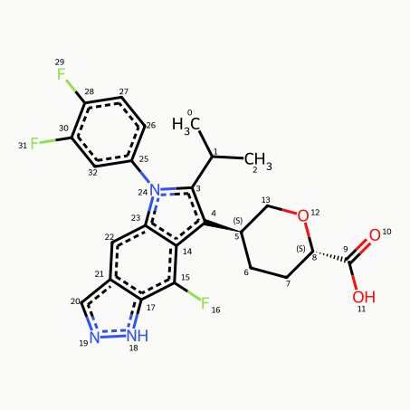 CC(C)c1c([C@@H]2CC[C@@H](C(=O)O)OC2)c2c(F)c3[nH]ncc3cc2n1-c1ccc(F)c(F)c1